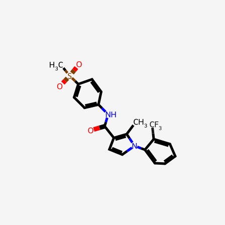 Cc1c(C(=O)Nc2ccc(S(C)(=O)=O)cc2)ccn1-c1ccccc1C(F)(F)F